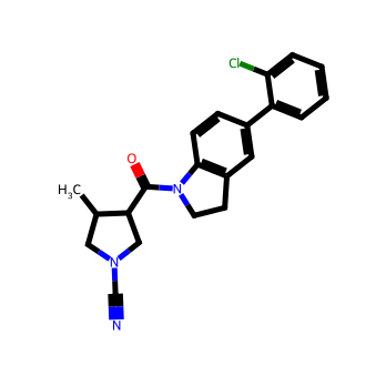 CC1CN(C#N)CC1C(=O)N1CCc2cc(-c3ccccc3Cl)ccc21